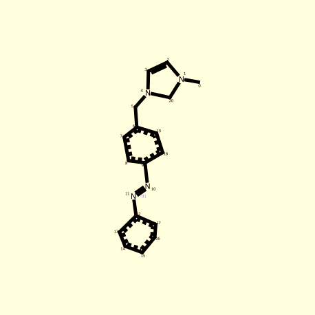 CN1C=CN(Cc2ccc(/N=N/c3ccccc3)cc2)C1